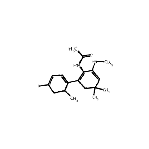 CNC1=CC(C)(C)CC(C2=CC=C(Br)CC2C)=C1NC(C)=O